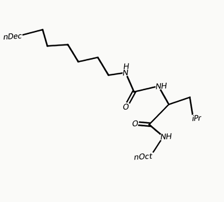 CCCCCCCCCCCCCCCCNC(=O)NC(CC(C)C)C(=O)NCCCCCCCC